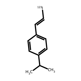 CC(C)c1ccc(C=C[123I])cc1